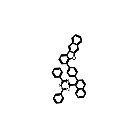 c1ccc(-c2nc(-c3ccccc3)nc(-c3c(-c4ccc(-c5cccc6c5oc5cc7ccccc7cc56)cc4)ccc4ccccc34)n2)cc1